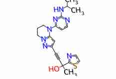 CC(C)Nc1nccc(N2CCCn3nc(C#CC(C)(O)c4nccs4)cc32)n1